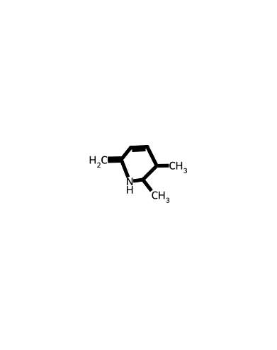 C=C1C=CC(C)C(C)N1